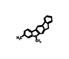 Cc1ccc2c3cc4c(cc3n(C)c2c1)Cc1ccccc1-4